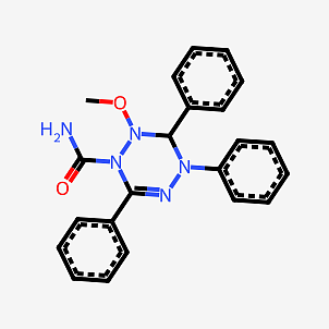 CON1C(c2ccccc2)N(c2ccccc2)N=C(c2ccccc2)N1C(N)=O